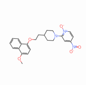 COc1ccc(OCCC2CCN(c3cc([N+](=O)[O-])cc[n+]3[O-])CC2)c2ccccc12